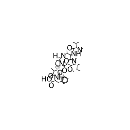 CCC(C)C(C(CC(=O)N1CCC[C@H]1C(OC)C(C)C(=O)NC(Cc1ccccc1)C(=O)O)OC)N(C)C(=O)C(NC(=O)C(C(C)C)N(C)C)C(C)N